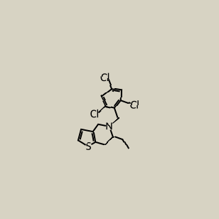 CCC1Cc2sccc2CN1Cc1c(Cl)cc(Cl)cc1Cl